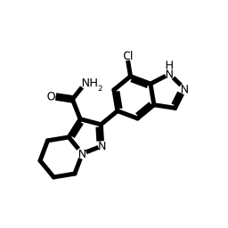 NC(=O)c1c(-c2cc(Cl)c3[nH]ncc3c2)nn2c1CCCC2